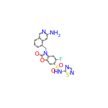 Nc1cc2c(Cn3c(=O)oc4cc(S(=O)(=O)Nc5ncns5)c(F)cc43)cccc2cn1